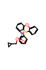 O=C(OCC1CC1)N1c2cccc3c2[PH]1(c1ccccc1)c1ccccc1O3